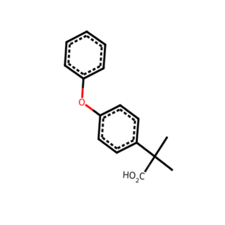 CC(C)(C(=O)O)c1ccc(Oc2ccccc2)cc1